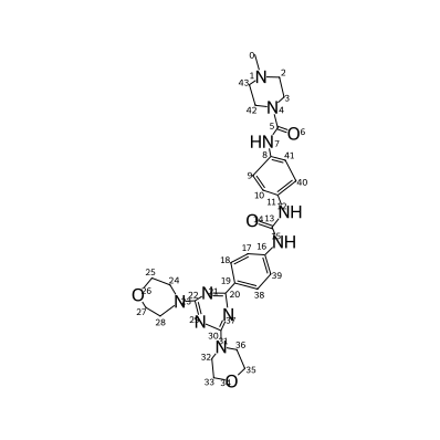 CN1CCN(C(=O)Nc2ccc(NC(=O)Nc3ccc(-c4nc(N5CCOCC5)nc(N5CCOCC5)n4)cc3)cc2)CC1